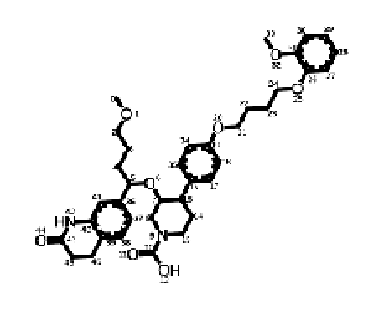 COCCCC(OC1CN(C(=O)O)CCC1c1ccc(OCCCCOc2ccccc2OC)cc1)c1ccc2c(c1)NC(=O)CC2